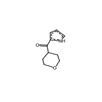 O=C(c1ccc[nH]1)C1CCOCC1